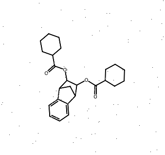 O=C(OC1C2CC(c3ccccc32)C1OC(=O)C1CCCCC1)C1CCCCC1